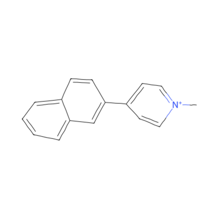 C[n+]1ccc(-c2ccc3ccccc3c2)cc1